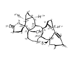 C[C@]12CCC(=O)C=C1[C@@H]1C[C@@H]1C1C2CC[C@@]2(C)C1[C@@H]1C[C@@H]1[C@]21CCC(=O)O1